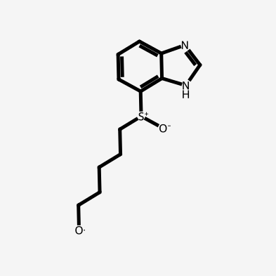 [O]CCCCC[S+]([O-])c1cccc2nc[nH]c12